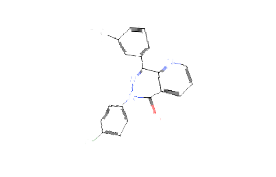 O=c1c2cccnc2c(-c2cccc(C(F)(F)F)c2)nn1-c1ccc(Cl)cc1